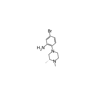 C[C@@H]1CN(c2ccc(Br)cc2N)CCN1C